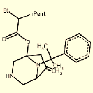 C=C1CC2(OC(=O)C(CC)CCCCC)CNCC1N2C(C)(C)c1ccccc1